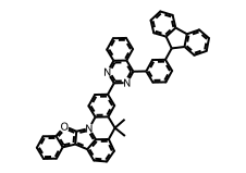 CC1(C)c2cc(-c3nc(-c4cccc(C5c6ccccc6-c6ccccc65)c4)c4ccccc4n3)ccc2-n2c3oc4ccccc4c3c3cccc1c32